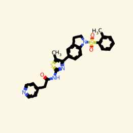 Cc1ccccc1S(=O)(=O)N1CCc2cc(-c3nc(NC(=O)Cc4ccncc4)sc3C)ccc21